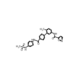 Cc1ccc(NC(=O)c2ccno2)cc1-c1ccc(C(=O)Nc2ccc(NS(C)(=O)=O)cc2)cc1